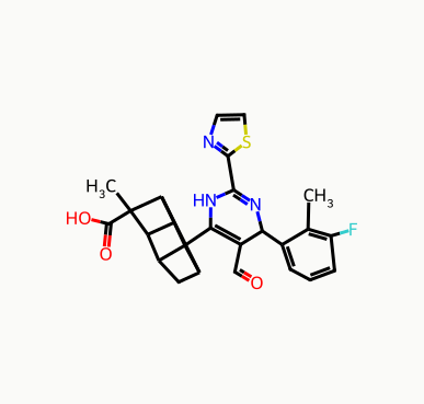 Cc1c(F)cccc1C1N=C(c2nccs2)NC(C23C4CC2C2C3C4C2(C)C(=O)O)=C1C=O